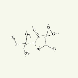 CCCC(CC)C1(C(=O)OC(C)(C)CC(C)(C)C)OO1